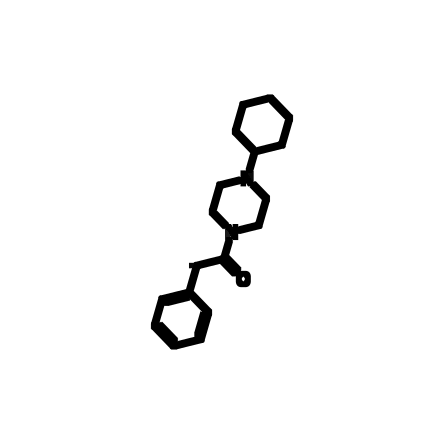 O=C([CH]c1ccccc1)N1CCN(C2CCCCC2)CC1